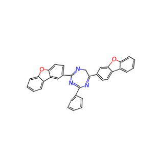 c1ccc(C2=NC(c3ccc4oc5ccccc5c4c3)=NCC(c3ccc4c(c3)oc3ccccc34)=N2)cc1